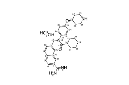 Cl.Cl.N=C(N)c1ccc2ccc(CN(C(=O)C3CCCCC3)c3ccc(OC4CCNCC4)cc3)cc2c1